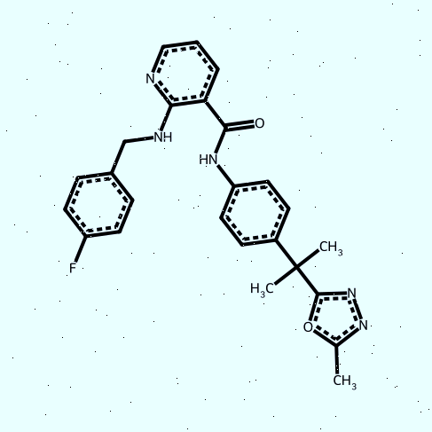 Cc1nnc(C(C)(C)c2ccc(NC(=O)c3cccnc3NCc3ccc(F)cc3)cc2)o1